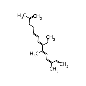 C=C\C(C)=C/C=C(C)/C(C=C)=C/C=C/CCC(=C)C